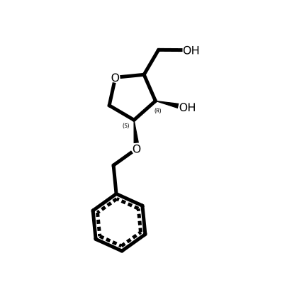 OCC1OC[C@H](OCc2ccccc2)[C@@H]1O